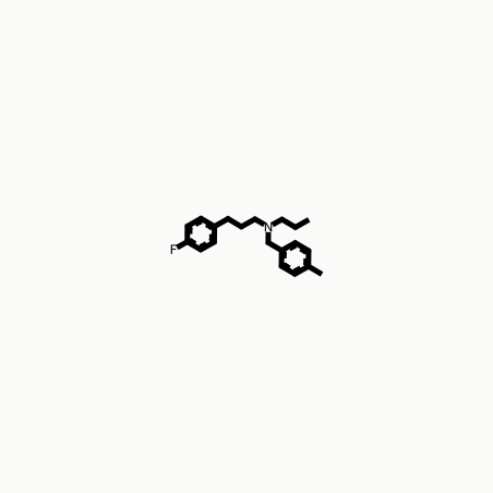 CCCN(CCCc1ccc(F)cc1)Cc1ccc(C)cc1